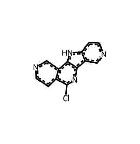 Clc1nc2c3cnccc3[nH]c2c2cnccc12